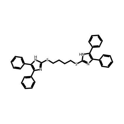 c1ccc(-c2nc(SCCCCSc3nc(-c4ccccc4)c(-c4ccccc4)[nH]3)[nH]c2-c2ccccc2)cc1